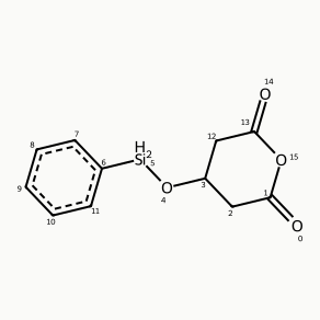 O=C1CC(O[SiH2]c2ccccc2)CC(=O)O1